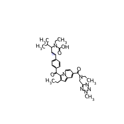 CCc1cc2cc(C(=O)N(CC)Cc3nnn(C)n3)ccn2c1C(=O)c1ccc(/C=C/C(C(C)C)N(CC)C(=O)O)cc1